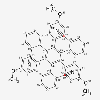 COc1ccc(-c2c(-c3ccccc3C#N)c(-c3ccc(OC)cc3)c(-c3ccccc3C#N)c(-c3ccc(OC)cc3)c2-c2ccccc2C#N)cc1